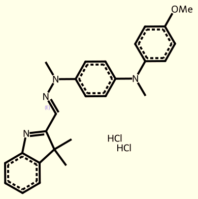 COc1ccc(N(C)c2ccc(N(C)/N=C/C3=Nc4ccccc4C3(C)C)cc2)cc1.Cl.Cl